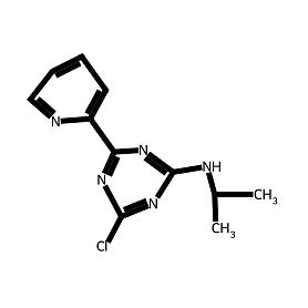 CC(C)Nc1nc(Cl)nc(-c2ccccn2)n1